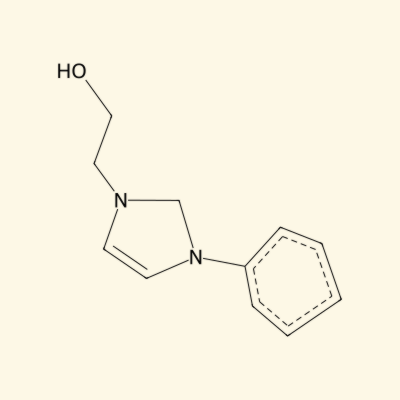 OCCN1C=CN(c2ccccc2)C1